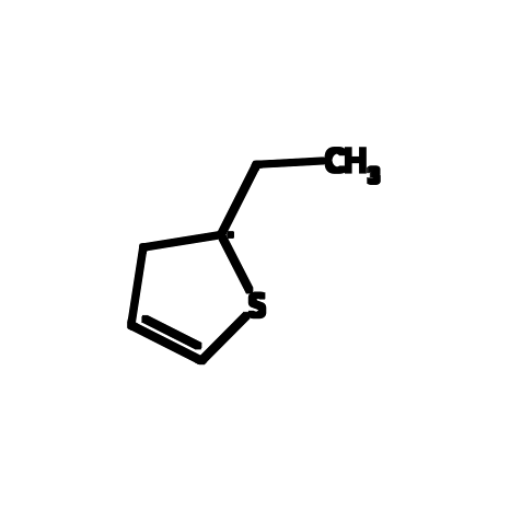 CC[C]1CC=CS1